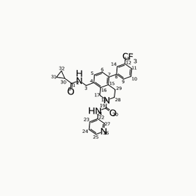 O=C(NCc1ccc(-c2cccc(C(F)(F)F)c2)c2c1CN(C(=O)Nc1cccnc1)CC2)C1CC1